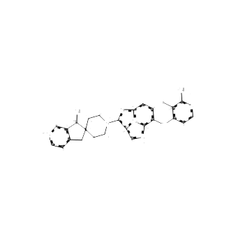 Nc1nccc(Sc2ccc3nc(N4CCC5(CC4)Cc4ccncc4C5N)c4cnc2n34)c1Cl